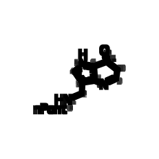 CCCCCNCc1c[nH]c2c1N=CCC2=O